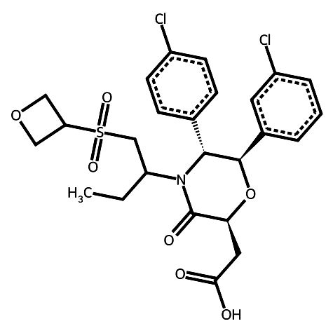 CCC(CS(=O)(=O)C1COC1)N1C(=O)[C@H](CC(=O)O)O[C@H](c2cccc(Cl)c2)[C@H]1c1ccc(Cl)cc1